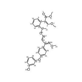 COC=C(C(=O)OC)c1ccccc1C(C)ON=CC(=NOC)c1ccc(Oc2cccc(Cl)c2)cc1